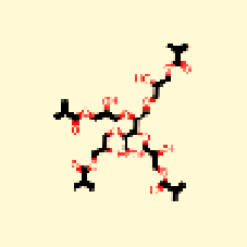 C=C(C)C(=O)OCC(O)COC[C@H](OCC(O)COC(=O)C(=C)C)[C@@H](OCC(O)COC(=O)C(=C)C)[C@@H](CO)OCC(O)COC(=O)C(=C)C